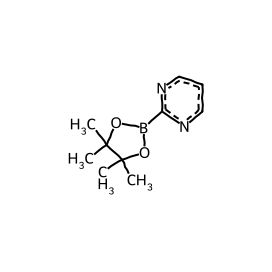 CC1(C)OB(c2ncccn2)OC1(C)C